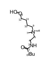 CCC(C)C(=O)NCC[N+](C)(C)CCCCOO